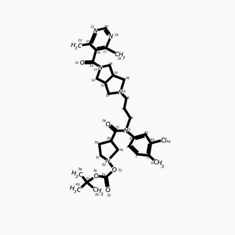 Cc1ccc(N(CCCN2CC3CN(C(=O)c4c(C)ncnc4C)CC3C2)C(=O)C2CCN(OC(=O)OC(C)(C)C)C2)cc1Cl